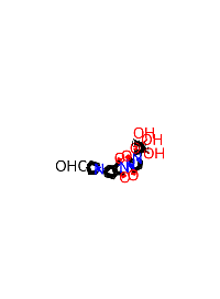 O=CC1CCN(c2ccc3c(c2)C(=O)N(n2c(=O)ccn([C@@H]4O[C@H](CO)[C@@H](O)[C@H]4O)c2=O)C3=O)CC1